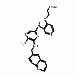 COCCOc1ccncc1Nc1cnc(N)c(NCc2ccc3ncccc3c2)n1